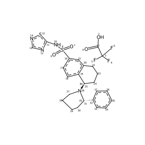 O=C(O)C(F)(F)F.O=S(=O)(Nc1ncns1)c1ccc2c(c1)CCC[C@H]2N1CCCC[C@H]1c1ccccc1